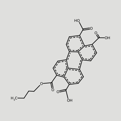 CCCCOC(=O)c1ccc2c3ccc(C(=O)O)c4c(C(=O)O)ccc(c5ccc(C(=O)O)c1c52)c43